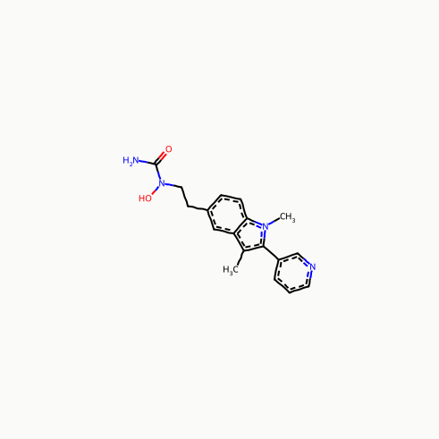 Cc1c(-c2cccnc2)n(C)c2ccc(CCN(O)C(N)=O)cc12